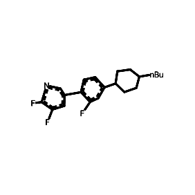 CCCCC1CCC(c2ccc(-c3cnc(F)c(F)c3)c(F)c2)CC1